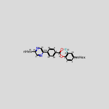 CCCCCCc1ccc(OC(=O)c2ccc(-c3cnc(CCCCCC)cn3)cc2)c(F)c1